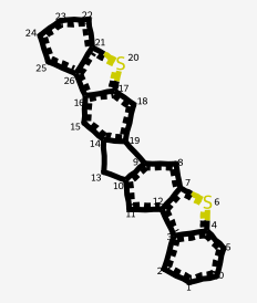 c1ccc2c(c1)sc1cc3c(cc12)Cc1cc2c(cc1-3)sc1ccccc12